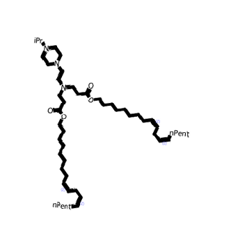 CCCCC/C=C\C/C=C\CCCCCCCCOC(=O)CCN(CCC(=O)OCCCCCCCC/C=C\C/C=C\CCCCC)CCN1CCN(C(C)C)CC1